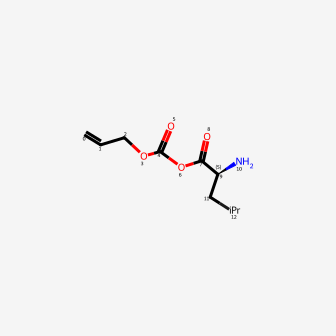 C=CCOC(=O)OC(=O)[C@@H](N)CC(C)C